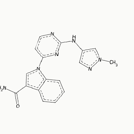 Cn1cc(Nc2nccc(-n3cc(C(N)=O)c4ccccc43)n2)cn1